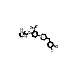 CC1(COc2ccc(N3CCC(Cc4ccc(Cl)c(Cl)c4)CC3)cc2[N+](=O)[O-])NC=CN1